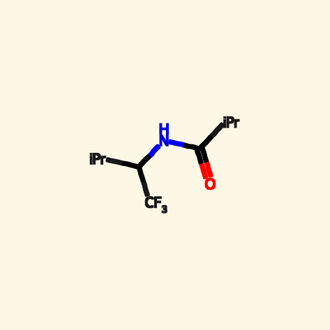 CC(C)C(=O)NC(C(C)C)C(F)(F)F